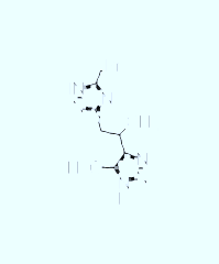 Cc1[nH]nnc1C(C)C[n+]1n[nH]c(C(C)C)n1